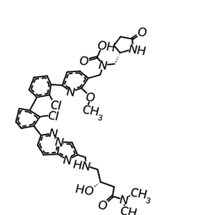 COc1nc(-c2cccc(-c3cccc(-c4ccc5nc(CNC[C@@H](O)CC(=O)N(C)C)cn5n4)c3Cl)c2Cl)ccc1CN(C[C@@H]1CCC(=O)N1)C(=O)O